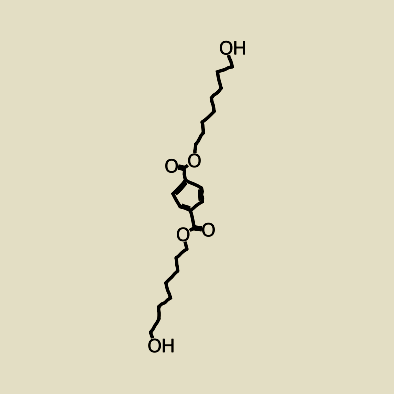 O=C(OCCCCCCCCO)c1ccc(C(=O)OCCCCCCCCO)cc1